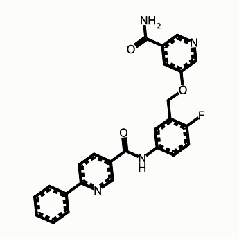 NC(=O)c1cncc(OCc2cc(NC(=O)c3ccc(-c4ccccc4)nc3)ccc2F)c1